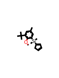 COc1c(C(C)(C)C)cc(C)cc1[Si](C)(C)C1=CC=CC1